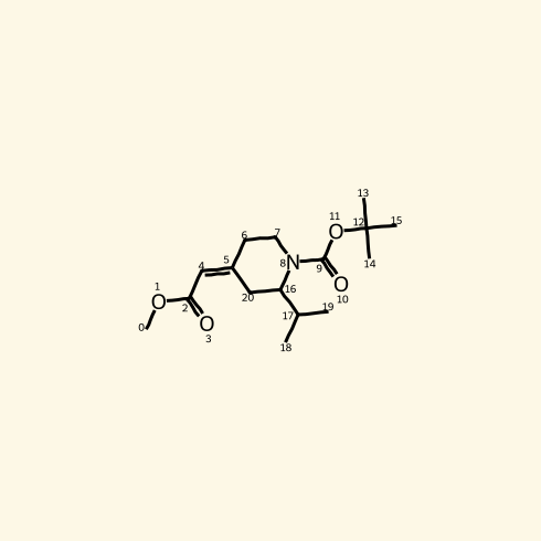 COC(=O)/C=C1/CCN(C(=O)OC(C)(C)C)C(C(C)C)C1